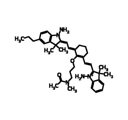 CCCc1ccc2c(c1)C(C)(C)/C(=C\C=C1/CCCC(/C=C/C3=[N+](N)c4ccccc4C3(C)C)=C1OCCCN(C)C(C)=O)N2N